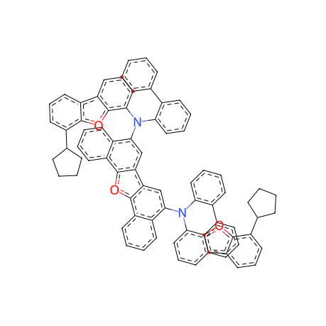 c1ccc(-c2ccccc2N(c2cc3c4cc(N(c5ccccc5-c5ccccc5)c5cccc6c5oc5c(C7CCCC7)cccc56)c5ccccc5c4oc3c3ccccc23)c2cccc3c2oc2c(C4CCCC4)cccc23)cc1